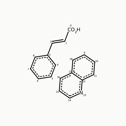 O=C(O)C=Cc1ccccc1.c1ccc2ncccc2c1